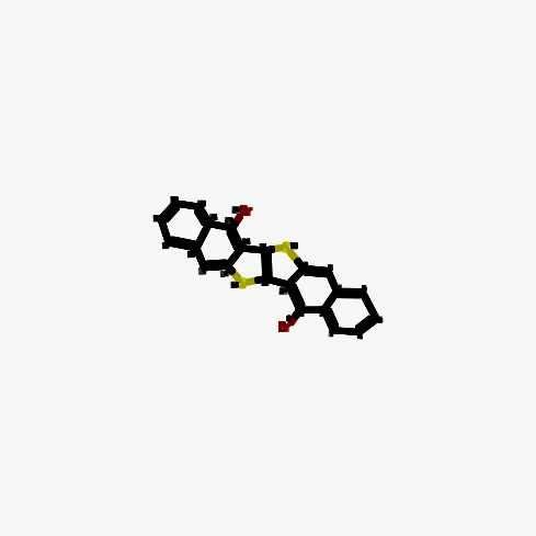 Brc1c2ccccc2cc2sc3c(sc4cc5ccccc5c(Br)c43)c12